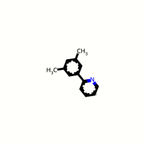 Cc1cc(C)cc(-c2cc[c]cn2)c1